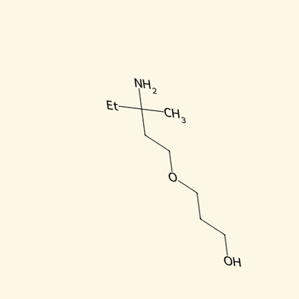 CCC(C)(N)CCOCCCO